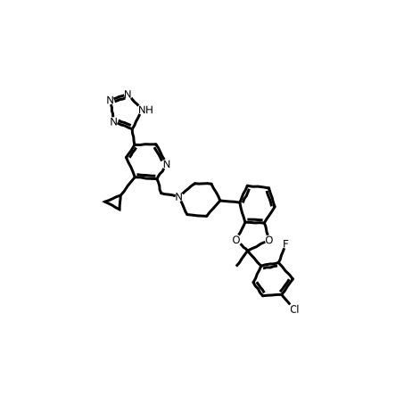 CC1(c2ccc(Cl)cc2F)Oc2cccc(C3CCN(Cc4ncc(-c5nnn[nH]5)cc4C4CC4)CC3)c2O1